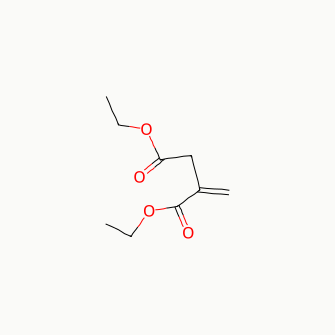 C=C(CC(=O)OCC)C(=O)OCC